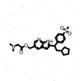 CN(C)CC(=O)OCc1cnc2[nH]c(C(CC3CCCC3)c3ccc(S(C)(=O)=O)cc3)cc2c1